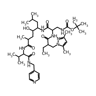 CCC(Cn1nc(C)cc1C)C(=O)NC(CNC(=O)OC(C)(C)C)C(=O)NC(CC(C)C)C(O)CC(C)C(=O)NC(C(=O)NCc1ccncc1)C(C)C